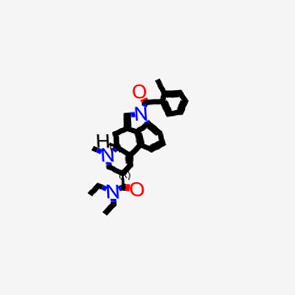 CCN(CC)C(=O)[C@@H]1C=C2c3cccc4c3c(cn4C(=O)c3ccccc3C)C[C@H]2N(C)C1